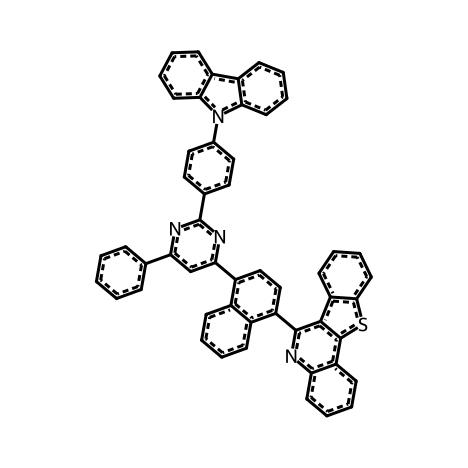 c1ccc(-c2cc(-c3ccc(-c4nc5ccccc5c5sc6ccccc6c45)c4ccccc34)nc(-c3ccc(-n4c5ccccc5c5ccccc54)cc3)n2)cc1